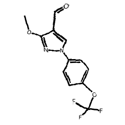 COc1nn(-c2ccc(OC(F)(F)F)cc2)cc1C=O